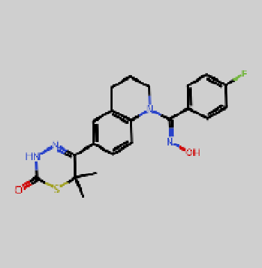 CC1(C)SC(=O)NN=C1c1ccc2c(c1)CCCN2C(=NO)c1ccc(F)cc1